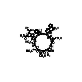 CC(C)C[C@H](NC(=O)[C@@H]1CSc2[nH]c3ccccc3c2C[C@H](NC(=O)[C@H](CCC(N)=O)NC(=O)[C@@H](N)CC(C)C)C(=O)N[C@@H](CC(=O)O)C(=O)N[C@@H](CCC(=O)O)C(=O)N[C@@H](CCC(=O)O)C(=O)N[C@@H]([C@@H](C)O)C(=O)NCC(=O)N[C@@H](CCC(=O)O)C(=O)N1)C(=O)N1CCC[C@H]1C(=O)O